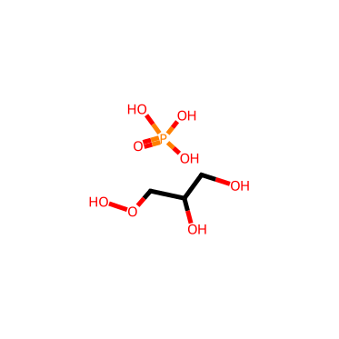 O=P(O)(O)O.OCC(O)COO